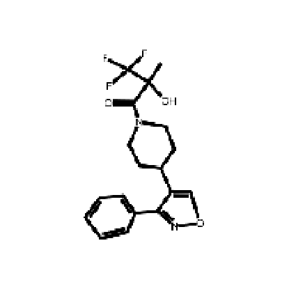 CC(O)(C(=O)N1CCC(c2conc2-c2ccccc2)CC1)C(F)(F)F